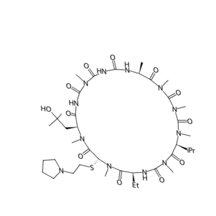 CC[C@@H]1NC(=O)N(C)C(=O)[C@H](C(C)C)N(C)C(=O)N(C)C(=O)N(C)C(=O)[C@H](C)NC(=O)NC(=O)N(C)C(=O)NC(=O)[C@H](CC(C)(C)O)N(C)C(=O)[C@@H](SCCN2CCCC2)N(C)C1=O